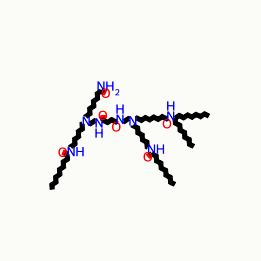 CCCCCCCCCC(=O)NCCCCCCCN(CCCCCCCC(N)=O)CCNC(=O)CCC(=O)NCCN(CCCCCCCNC(=O)CCCCCCCCC)CCCCCCCC(=O)NC(CCCCCCCC)CCCCCCCC